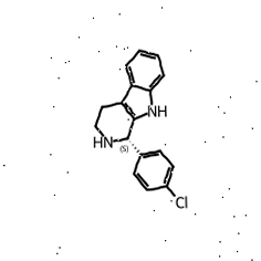 Clc1ccc([C@@H]2NCCc3c2[nH]c2ccccc32)cc1